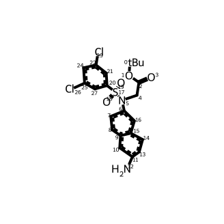 CC(C)(C)OC(=O)CN(c1ccc2cc(N)ccc2c1)S(=O)(=O)c1cc(Cl)cc(Cl)c1